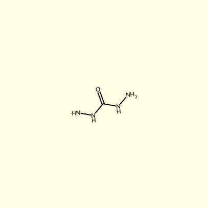 [NH]NC(=O)NN